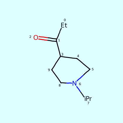 CCC(=O)C1CCN(C(C)C)CC1